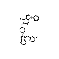 O=c1c2cnn(-c3ccccc3)c2cnn1CC1CCN(c2nc3ccccc3n2Cc2cccc(F)c2)CC1